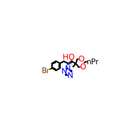 CCCC1OCC(C)(/C(O)=C(/Cc2ccc(Br)cc2)n2cncn2)CO1